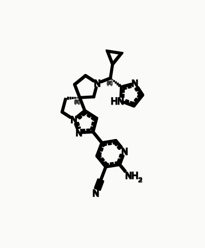 N#Cc1cc(-c2cc3n(n2)CC[C@@]32CCN([C@@H](c3ncc[nH]3)C3CC3)C2)cnc1N